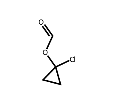 O=COC1(Cl)CC1